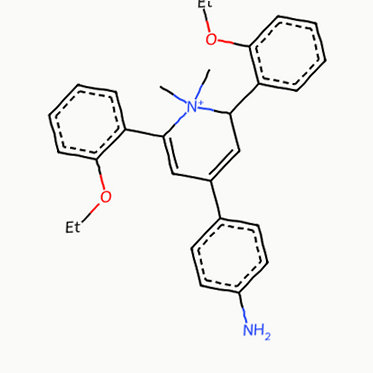 CCOc1ccccc1C1=CC(c2ccc(N)cc2)=CC(c2ccccc2OCC)[N+]1(C)C